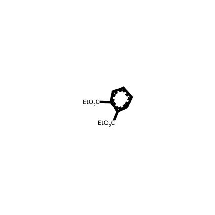 CCOC(=O)c1[c]cccc1C(=O)OCC